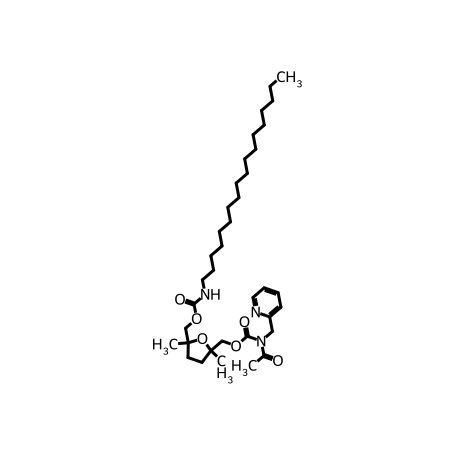 CCCCCCCCCCCCCCCCCCNC(=O)OCC1(C)CCC(C)(COC(=O)N(Cc2ccccn2)C(C)=O)O1